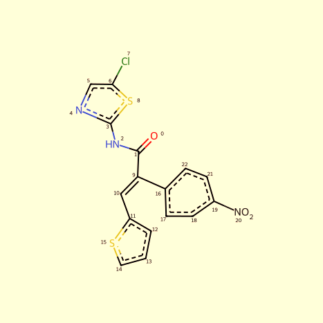 O=C(Nc1ncc(Cl)s1)/C(=C/c1cccs1)c1ccc([N+](=O)[O-])cc1